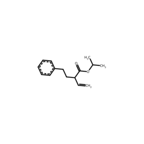 C=CC(CCc1ccccc1)C(=O)OC(C)C